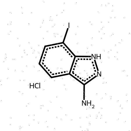 Cl.Nc1n[nH]c2c(I)cccc12